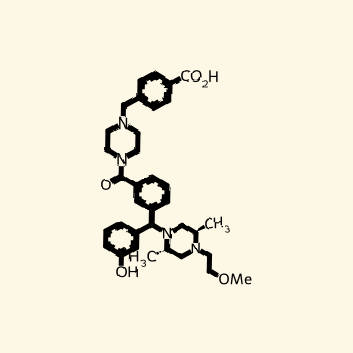 COCCN1C[C@H](C)N(C(c2cccc(O)c2)c2cccc(C(=O)N3CCN(Cc4ccc(C(=O)O)cc4)CC3)c2)C[C@H]1C